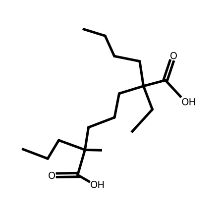 CCCCC(CC)(CCCC(C)(CCC)C(=O)O)C(=O)O